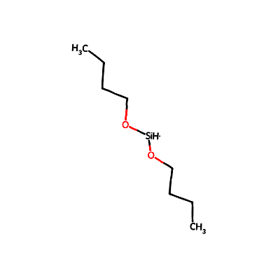 CCCCO[SiH]OCCCC